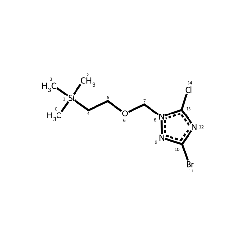 C[Si](C)(C)CCOCn1nc(Br)nc1Cl